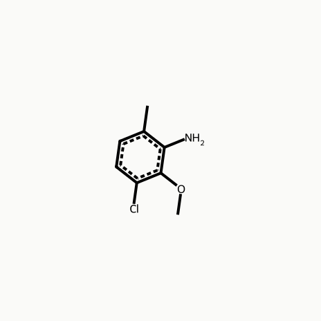 COc1c(Cl)ccc(C)c1N